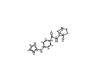 O=C(NC1CN2CC[C@H]1C2)c1ccc(Oc2nnco2)cc1